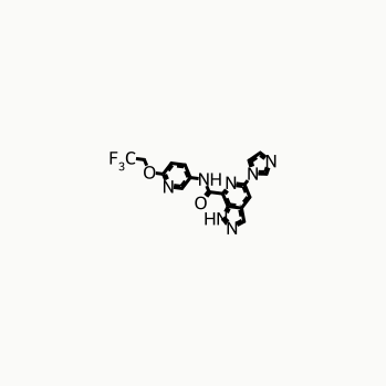 O=C(Nc1ccc(OCC(F)(F)F)nc1)c1nc(-n2ccnc2)cc2cn[nH]c12